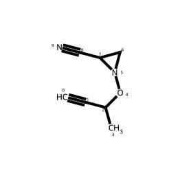 C#CC(C)ON1CC1C#N